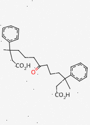 CC(CCCC(=O)CCCC(C)(CC(=O)O)c1ccccc1)(CC(=O)O)c1ccccc1